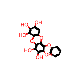 Oc1cc2c(c(O)c1O)Oc1c(O)c(O)c(O)c(Oc3ccccc3)c1O2